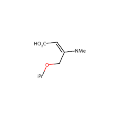 CNC(=CC(=O)O)COC(C)C